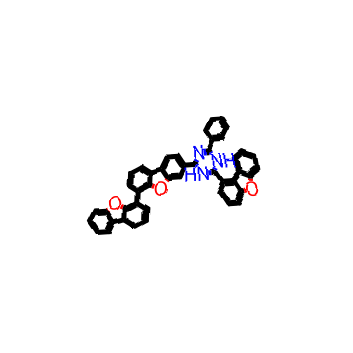 c1ccc(C2=NC(c3ccc4c(c3)oc3c(-c5cccc6c5oc5ccccc56)cccc34)NC(c3cccc4oc5ccccc5c34)N2)cc1